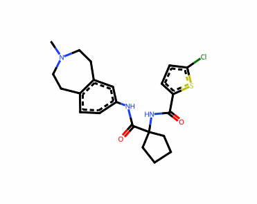 CN1CCc2ccc(NC(=O)C3(NC(=O)c4ccc(Cl)s4)CCCC3)cc2CC1